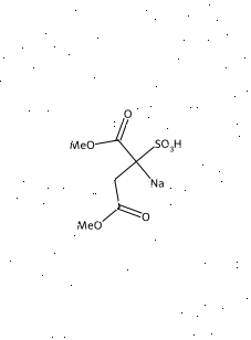 COC(=O)C[C]([Na])(C(=O)OC)S(=O)(=O)O